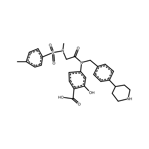 Cc1ccc(S(=O)(=O)N(C)CC(=O)N(Cc2ccc(C3CCNCC3)cc2)c2ccc(C(=O)O)c(O)c2)cc1